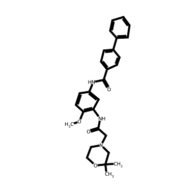 COc1ccc(NC(=O)c2ccc(-c3ccccc3)cc2)cc1NC(=O)CN1CCOC(C)(C)C1